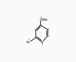 COc1ccnc(C(C)=O)c1